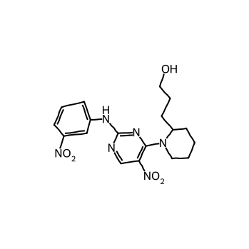 O=[N+]([O-])c1cccc(Nc2ncc([N+](=O)[O-])c(N3CCCCC3CCCO)n2)c1